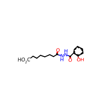 O=C(O)CCCCCCC(=O)NNC(=O)c1ccccc1O